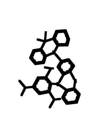 CC(C)c1cc(C(C)C)c(B2c3ccccc3Sc3ccc(N4c5ccccc5C(C)(C)c5ccccc54)cc32)c(C(C)C)c1